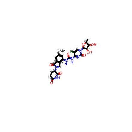 COc1cc(NC(=O)Nc2nc(=O)n(C3OC(C)C(O)C3O)cc2F)c2c(c1)C(=O)N(C1CCC(=O)NC1=O)C2